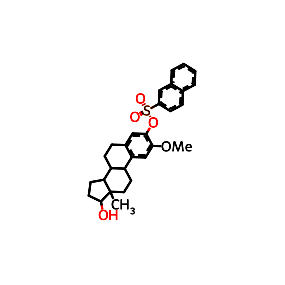 COc1cc2c(cc1OS(=O)(=O)c1ccc3ccccc3c1)CCC1C2CCC2(C)C(O)CCC12